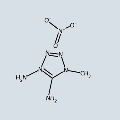 Cn1nn[n+](N)c1N.O=[N+]([O-])[O-]